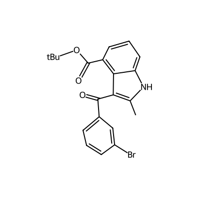 Cc1[nH]c2cccc(C(=O)OC(C)(C)C)c2c1C(=O)c1cccc(Br)c1